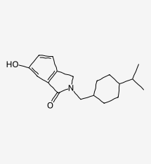 CC(C)C1CCC(CN2Cc3ccc(O)cc3C2=O)CC1